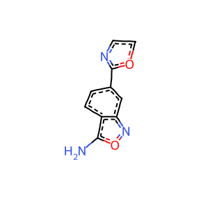 Nc1onc2cc(-c3ncco3)ccc12